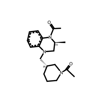 CC(=O)N1CCC[C@H](CN2C[C@H](C)N(C(C)=O)c3ccccc32)C1